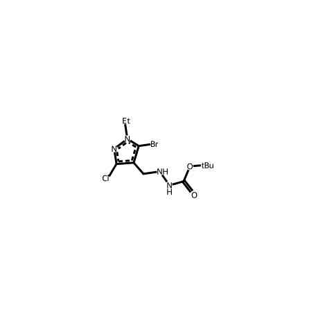 CCn1nc(Cl)c(CNNC(=O)OC(C)(C)C)c1Br